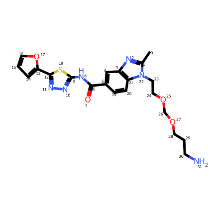 Cc1nc2cc(C(=O)Nc3nnc(-c4ccco4)s3)ccc2n1CCOCOCCCN